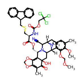 COCOc1c(OC)c(C)cc2c1[C@@H]1C3CC4(O)C(=O)C(C)=C5OCOC5=C4[C@H](COC(=O)[C@@H](CSCC4c5ccccc5-c5ccccc54)NC(=O)OCC(Cl)(Cl)Cl)N3C(C#N)[C@H](C2)N1C